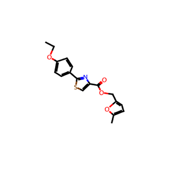 CCOc1ccc(-c2nc(C(=O)OCc3ccc(C)o3)cs2)cc1